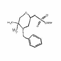 COS(=O)(=O)CC1CN(Cc2ccccc2)C(C)(C)CO1